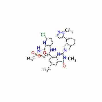 Cc1cc([C@@H](C)Nc2ccc(Cl)nc2C(=O)NS(C)(=O)=O)c2nc(N3Cc4cccc(-c5ccnn5C)c4C3)n(C)c(=O)c2c1